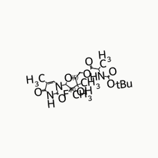 Cc1cn(C2O[C@@H](COC(=O)C(C)NC(=O)OC(C)(C)C)C(C)(O)[C@@]2(C)F)c(=O)[nH]c1=O